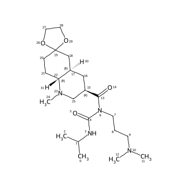 CC(C)NC(=O)N(CCCN(C)C)C(=O)[C@@H]1C[C@@H]2CC3(CC[C@H]2N(C)C1)OCCO3